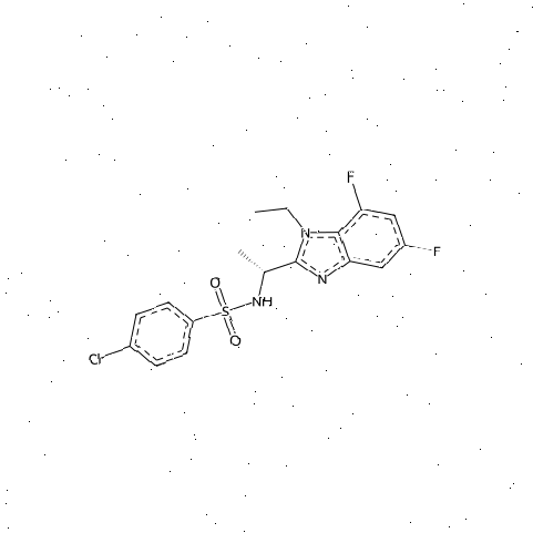 CCn1c([C@@H](C)NS(=O)(=O)c2ccc(Cl)cc2)nc2cc(F)cc(F)c21